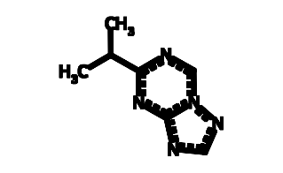 CC(C)c1ncn2ncnc2n1